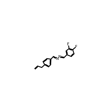 C=CCc1ccc(C=NN=Cc2ccc(F)c(F)c2)cc1